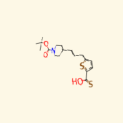 CC(C)(C)OC(=O)N1CCC(CCCc2ccc(C(O)=S)s2)CC1